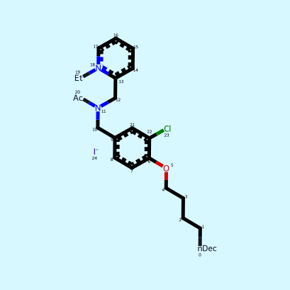 CCCCCCCCCCCCCCOc1ccc(CN(Cc2cccc[n+]2CC)C(C)=O)cc1Cl.[I-]